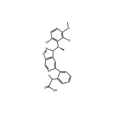 COc1ccc(Cl)c([C@@H](C)n2nnc3cnc(-c4ccccc4C(C)C(=O)O)cc32)c1Cl